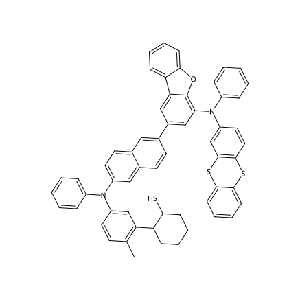 Cc1ccc(N(c2ccccc2)c2ccc3cc(-c4cc(N(c5ccccc5)c5ccc6c(c5)Sc5ccccc5S6)c5oc6ccccc6c5c4)ccc3c2)cc1C1CCCCC1S